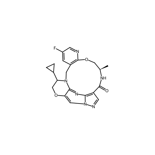 C[C@@H]1COc2ncc(F)cc2CN2c3nc4c(cnn4cc3OCC2C2CC2)C(=O)N1